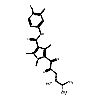 Cc1cc(NC(=O)c2c(C)c(C(=O)C(=O)C[C@@H](O)[C@H](N)C(=O)O)n(C)c2C)ccc1F